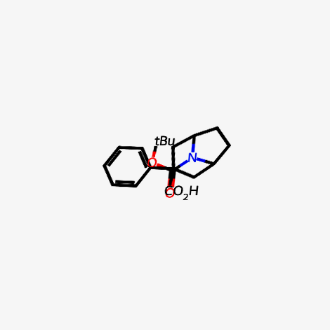 CC(C)(C)OC(=O)N1C2CCC1CC(C(=O)O)(c1ccccc1)C2